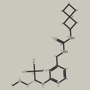 COC[C@@H](Oc1cc(CNC(=O)NC2CC3(CCC3)C2)ccn1)C(F)(F)F